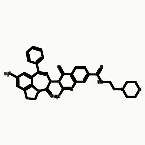 Cc1cc2c3c(c1)C(c1ccccc1)=NC(n1c(C)nc4cc(C(=O)NCCN5CCOCC5)ccc4c1=O)C(=O)N3CC2